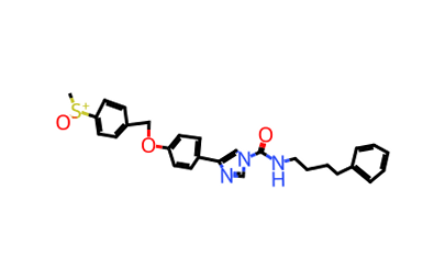 C[S+]([O-])c1ccc(COc2ccc(-c3cn(C(=O)NCCCCc4ccccc4)cn3)cc2)cc1